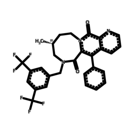 C[C@@H]1CCn2c(c(-c3ccccc3)c3cccnc3c2=O)C(=O)N(Cc2cc(C(F)(F)F)cc(C(F)(F)F)c2)C1